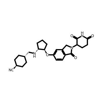 N#C[C@H]1CC[C@H](CN[C@@H]2CCC[C@H]2Oc2ccc3c(c2)CN(C2CCC(=O)NC2=O)C3=O)CC1